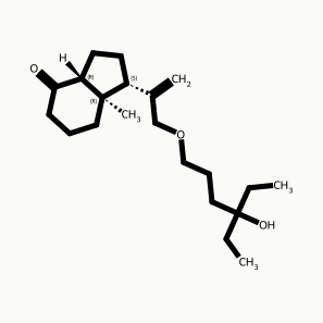 C=C(COCCCC(O)(CC)CC)[C@H]1CC[C@H]2C(=O)CCC[C@]12C